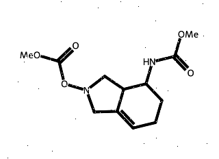 COC(=O)NC1CCC=C2CN(OC(=O)OC)CC21